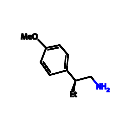 CC[C@H](CN)c1ccc(OC)cc1